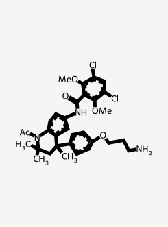 COc1c(Cl)cc(Cl)c(OC)c1C(=O)Nc1ccc2c(c1)C(C)(c1ccc(OCCCN)cc1)CC(C)(C)N2C(C)=O